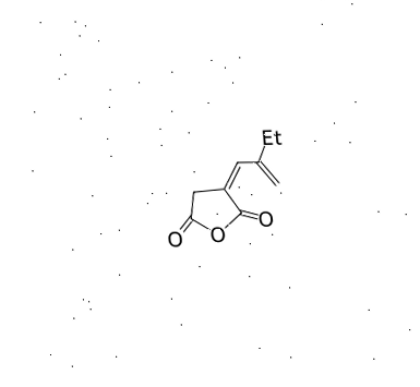 C=C(C=C1CC(=O)OC1=O)CC